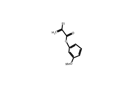 C=C(CC)C(=O)Oc1cccc(OC)c1